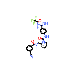 N#Cc1cccc(C(=O)NCC2CCCCN2C(=O)Nc2ccc(C(=N)NC(=O)C(F)(F)F)cc2)c1